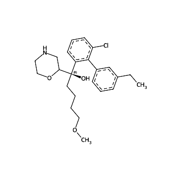 CCc1cccc(-c2c(Cl)cccc2[C@](O)(CCCCOC)C2CNCCO2)c1